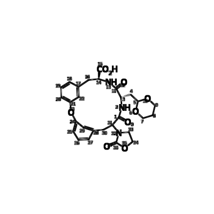 O=C1N[C@@H](CC2OCCCO2)C(=O)N[C@H](C(=O)O)Cc2cccc(c2)Oc2cccc(c2)CC1N1CCOC1=O